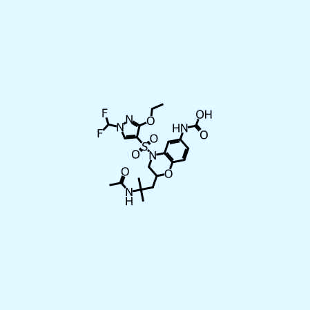 CCOc1nn(C(F)F)cc1S(=O)(=O)N1CC(CC(C)(C)NC(C)=O)Oc2ccc(NC(=O)O)cc21